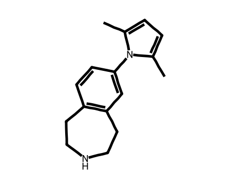 Cc1ccc(C)n1-c1ccc2c(c1)CCNCC2